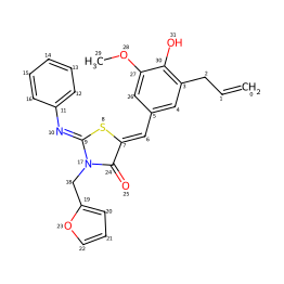 C=CCc1cc(/C=C2\S/C(=N\c3ccccc3)N(Cc3ccco3)C2=O)cc(OC)c1O